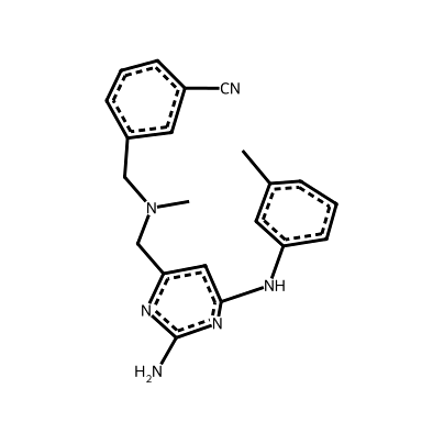 Cc1cccc(Nc2cc(CN(C)Cc3cccc(C#N)c3)nc(N)n2)c1